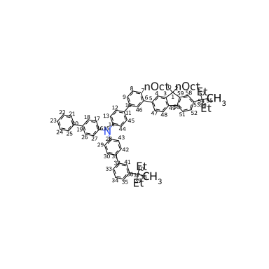 CCCCCCCCC1(CCCCCCCC)c2cc(-c3cccc(-c4ccc(N(c5ccc(-c6ccccc6)cc5)c5ccc(-c6cccc(C(C)(CC)CC)c6)cc5)cc4)c3)ccc2-c2ccc(C(C)(CC)CC)cc21